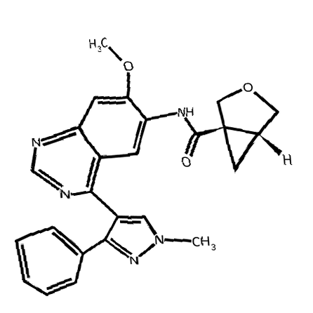 COc1cc2ncnc(-c3cn(C)nc3-c3ccccc3)c2cc1NC(=O)[C@@]12COC[C@@H]1C2